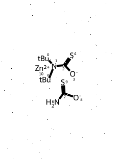 CC(C)(C)N(C([O-])=S)C(C)(C)C.NC([O-])=S.[Zn+2]